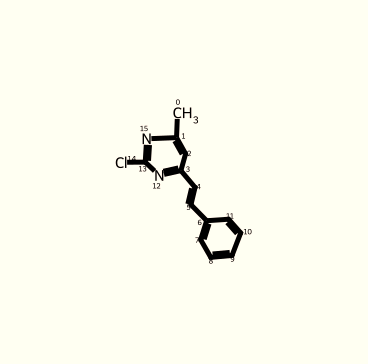 Cc1cc(/C=C/c2ccccc2)nc(Cl)n1